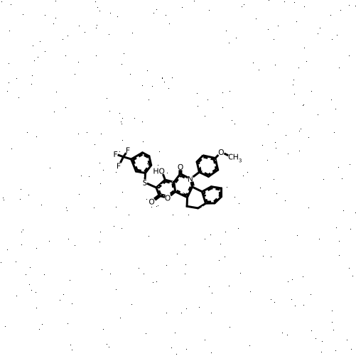 COc1ccc(-n2c3c(c4oc(=O)c(Sc5cccc(C(F)(F)F)c5)c(O)c4c2=O)CCc2ccccc2-3)cc1